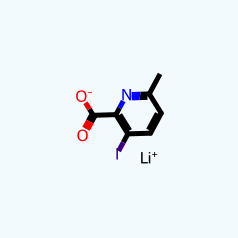 Cc1ccc(I)c(C(=O)[O-])n1.[Li+]